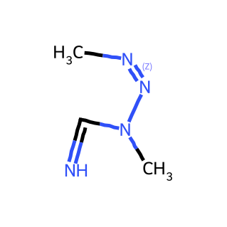 C/N=N\N(C)C=N